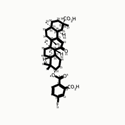 CC1(C)[C@@H](OC(=O)c2ccc(F)cc2C(=O)O)CC[C@]2(C)[C@H]3C(=O)C=C4[C@@H]5C[C@@](C)(C(=O)O)CC[C@]5(C)CC[C@@]4(C)[C@]3(C)CC[C@@H]12